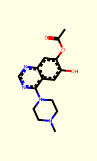 CC(=O)Oc1cc2ncnc(N3CCN(C)CC3)c2cc1O